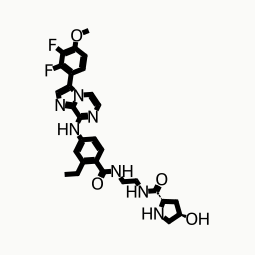 CCc1cc(Nc2nccn3c(-c4ccc(OC)c(F)c4F)cnc23)ccc1C(=O)NCCNC(=O)[C@@H]1C[C@@H](O)CN1